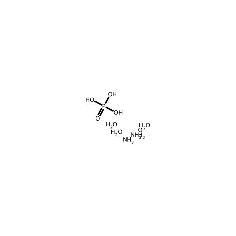 N.N.O.O.O.O.O=P(O)(O)O